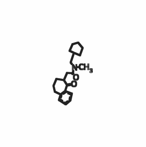 CN(CC1CCCCC1)C(=O)CC1CCCc2ccccc2C1=O